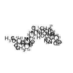 CC[C@H](NC(=O)Oc1c(C)[nH]c2c(-c3c(OCC4CC4)ccc4c3OCO4)ncnc12)C(=O)N1CCC(N2N=C(c3ccc(OC)c(OC)c3)[C@H]3CCCC[C@H]3C2=O)CC1